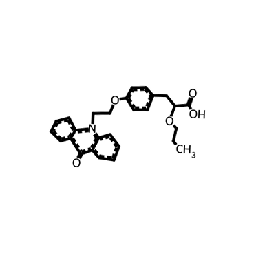 CCCOC(Cc1ccc(OCCn2c3ccccc3c(=O)c3ccccc32)cc1)C(=O)O